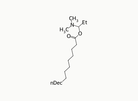 [CH2]CC(OC(=O)CCCCCCCCCCCCCCCCC)N(C)C